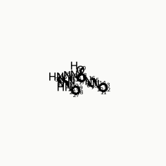 COc1cc(N2CCN(C3CCCCC3)CC2)ccc1Nc1nc(NC2CCCCC2)c2nc[nH]c2n1